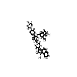 CN1CCN(C2CCN(C(=O)[C@@H](Cc3cc(Cl)c4[nH]ncc4c3)OC(=O)N3CCC(n4c(=O)[nH]c5c6ccccc6ccc54)CC3)CC2)CC1